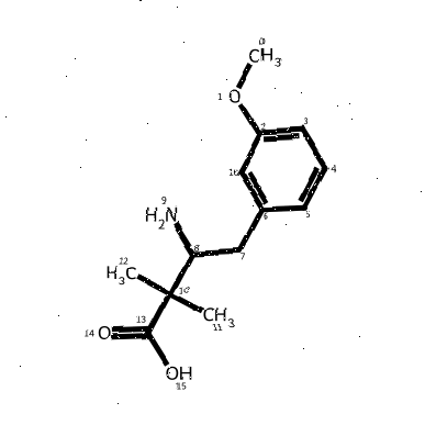 COc1cccc(CC(N)C(C)(C)C(=O)O)c1